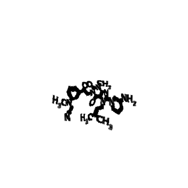 CC(C)=CCn1c(N2CCCC(N)C2)nc2c1c(=O)n(CC(=O)c1cccc(N(C)CC#N)c1)c(=O)n2C